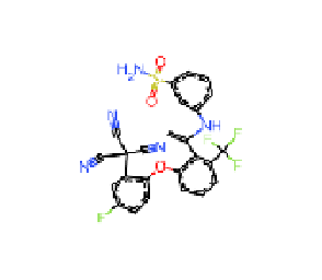 C=C(Nc1cccc(S(N)(=O)=O)c1)c1c(Oc2ccc(F)cc2C(C#N)(C#N)C#N)cccc1C(F)(F)F